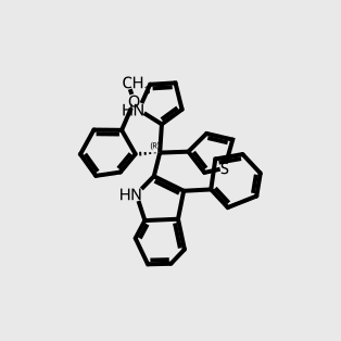 COc1ccccc1[C@@](c1ccsc1)(c1ccc[nH]1)c1[nH]c2ccccc2c1-c1ccccc1